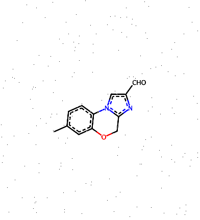 Cc1ccc2c(c1)OCc1nc(C=O)cn1-2